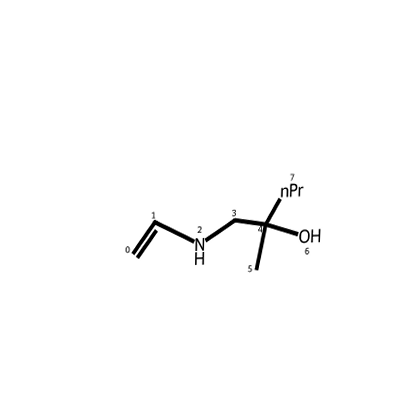 C=CNCC(C)(O)CCC